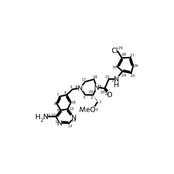 COC[C@@H]1CN(Cc2ccc3c(N)ncnc3c2)CCN1C(=O)CNc1cccc(Cl)c1